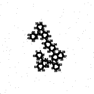 c1ccc(-c2nc(-n3c4ccccc4c4c5ccccc5c(-c5ccc6cc(-c7ccc8c9ccccc9n(-c9ccccc9)c8c7)ccc6c5)cc43)nc3ccccc23)cc1